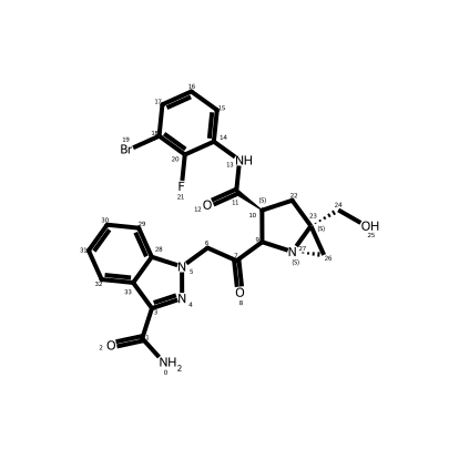 NC(=O)c1nn(CC(=O)C2[C@@H](C(=O)Nc3cccc(Br)c3F)C[C@@]3(CO)C[N@]23)c2ccccc12